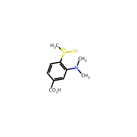 CN(C)c1cc(C(=O)O)ccc1[SH](C)S